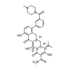 CN1CCN(C(=O)c2cccc(-c3ccc(O)c4c3C[C@H]3C[C@H]5[C@@H](N(C)C)C(O)=C(C(N)=O)C(=O)[C@@]5(O)C(O)=C3C4=O)c2)CC1